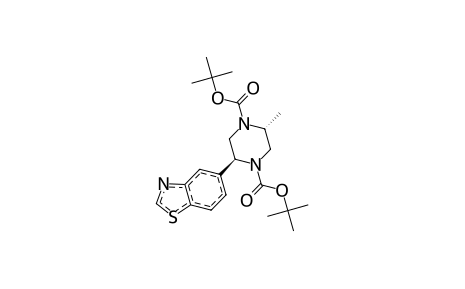 C[C@@H]1CN(C(=O)OC(C)(C)C)[C@@H](c2ccc3scnc3c2)CN1C(=O)OC(C)(C)C